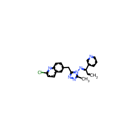 C=C/C(=N\n1c(C)nnc1Cc1ccc2nc(Cl)ccc2c1)c1cccnc1